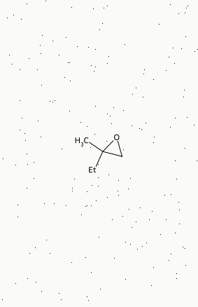 [CH2]CC1(C)CO1